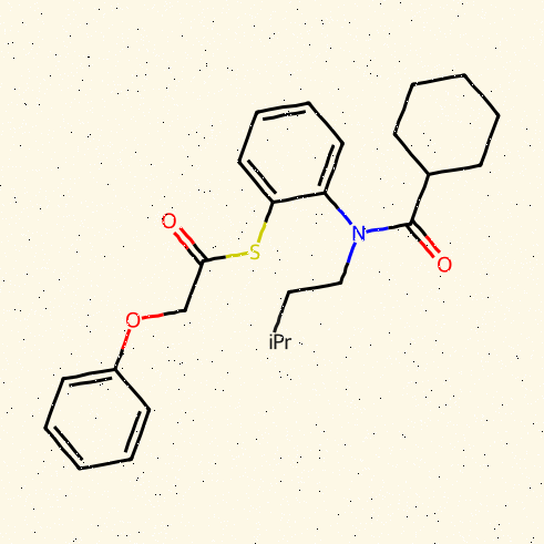 CC(C)CCN(C(=O)C1CCCCC1)c1ccccc1SC(=O)COc1ccccc1